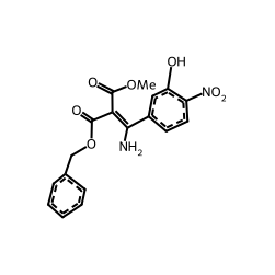 COC(=O)C(C(=O)OCc1ccccc1)=C(N)c1ccc([N+](=O)[O-])c(O)c1